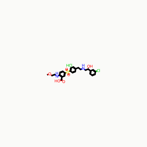 COCCNc1ccc(S(=O)(=O)c2ccc(CCNC[C@H](O)c3cccc(Cl)c3)cc2)cc1C(=O)O.Cl